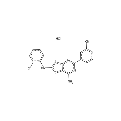 Cl.N#Cc1cccc(-c2nc(N)c3cc(Nc4ccccc4Cl)sc3n2)c1